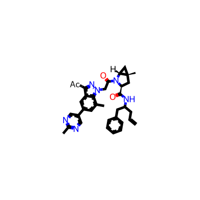 C=CCC(Cc1ccccc1)NC(=O)[C@@H]1C[C@@]2(C)C[C@H]2N1C(=O)Cn1nc(C(C)=O)c2cc(-c3cnc(C)nc3)cc(C)c21